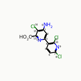 Nc1cc(-c2ccc(Cl)nc2Cl)nc(C(=O)O)c1Cl